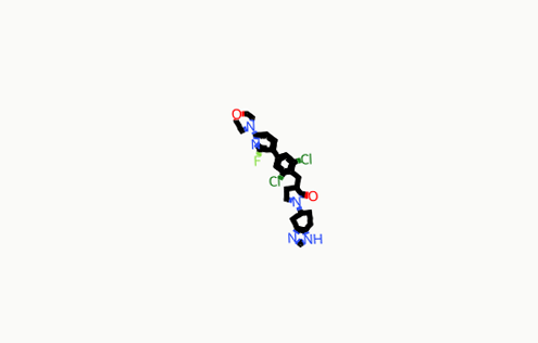 O=C1C(Cc2c(Cl)cc(-c3ccc(N4CCOCC4)nc3F)cc2Cl)CCN1C1CCc2[nH]cnc2C1